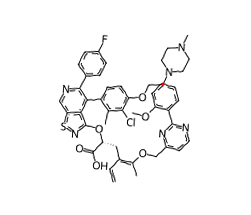 C=C/C(C[C@@H](Oc1nsc2cnc(-c3ccc(F)cc3)c(-c3ccc(OCCN4CCN(C)CC4)c(Cl)c3C)c12)C(=O)O)=C(\C)OCc1ccnc(-c2ccccc2OC)n1